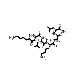 CC(C)C[C@H](NC(=O)[C@H](C)NC(=O)[C@H](CCCCN)NC(=O)[C@H](CC(C)C)NC(=O)[C@H](C)NC(=O)[C@@H](N)CCCCN)C(=O)O